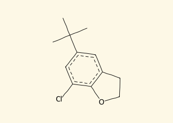 CC(C)(C)c1cc(Cl)c2c(c1)CCO2